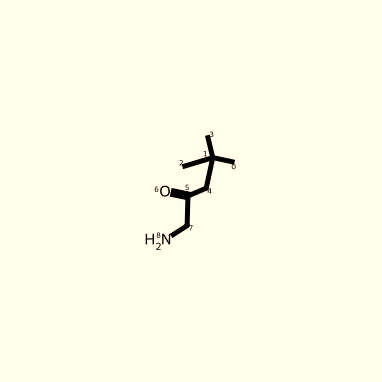 CC(C)(C)CC(=O)CN